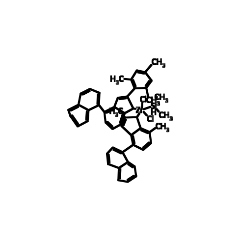 CC1=Cc2c(-c3cccc4ccccc34)ccc(C)c2[CH]1[Zr]([Cl])([Cl])([CH]1C(c2c(C)cc(C)cc2C)=Cc2c(-c3cccc4ccccc34)cccc21)[SiH](C)C